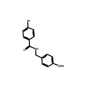 COc1ccc(CNC(=O)c2ccc(C(C)C)cc2)cc1